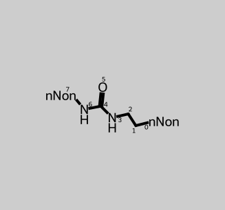 CCCCCCCCCCCNC(=O)NCCCCCCCCC